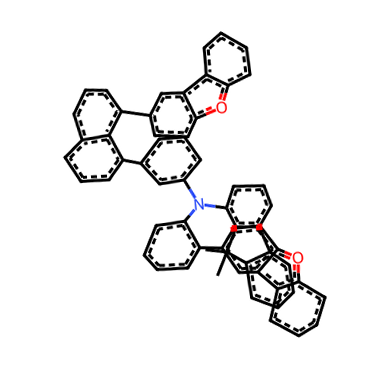 CC1(C)c2ccccc2-c2cccc(N(c3cccc(-c4cccc5cccc(-c6ccc7oc8ccccc8c7c6)c45)c3)c3ccccc3-c3ccc4oc5ccccc5c4c3)c21